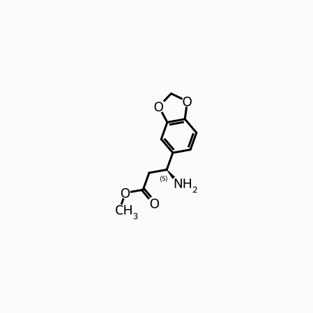 COC(=O)C[C@H](N)c1ccc2c(c1)OCO2